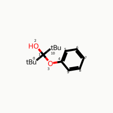 CC(C)(C)C(O)(Oc1ccccc1)C(C)(C)C